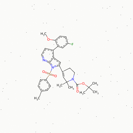 COc1ccc(F)cc1-c1ccnc2c1cc(C1=CC(C)(C)N(C(=O)OC(C)(C)C)CC1)n2S(=O)(=O)c1ccc(C)cc1